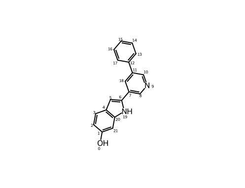 Oc1ccc2cc(-c3cncc(-c4ccccc4)c3)[nH]c2c1